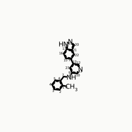 Cc1ccccc1CNc1cncc(-c2ccc3[nH]ncc3c2)c1